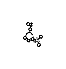 C1=CCCC(C2=NC(C3=CCCC=C3)=NC(c3ccc4c(c3)sccc(-c3ccc(-c5nccc6c5CCC=C6)cc3)cccc3ccccc3c3ccccc43)N2)=C1